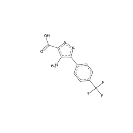 Nc1c(-c2ccc(C(F)(F)F)cc2)nsc1C(=O)O